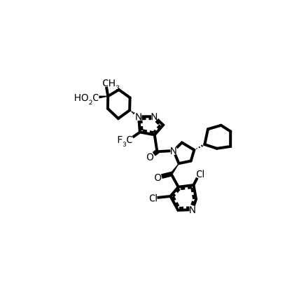 C[C@]1(C(=O)O)CC[C@H](n2ncc(C(=O)N3C[C@H](C4CCCCC4)C[C@H]3C(=O)c3c(Cl)cncc3Cl)c2C(F)(F)F)CC1